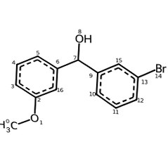 COc1cccc(C(O)c2cccc(Br)c2)c1